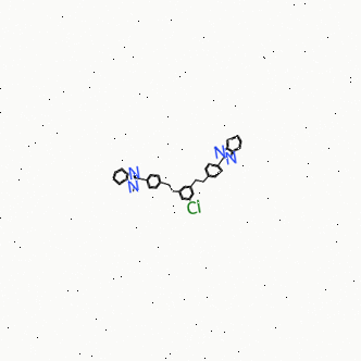 Cn1c(-c2ccc(CCc3cc(Cl)cc(CCc4ccc(-c5nc6ccccc6n5C)cc4)c3)cc2)nc2ccccc21